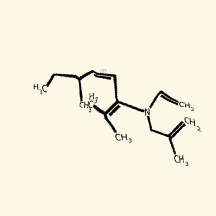 C=CN(CC(=C)C)C(/C=C\C(C)CC)=C(C)C